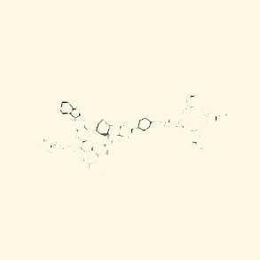 CNC(=N)NCCC[C@H](NC(=O)[C@H](CC(C)C)NC(=O)CNC(=O)[C@H](Cc1ccccc1)NC(=O)c1ccc(CNC(=O)CN2CCN(CC(=O)O)CCN(CC(=O)O)CCN(CC(=O)O)CC2)cc1)C(=O)N[C@@H](Cc1c[nH]c2ccccc12)C(N)=O